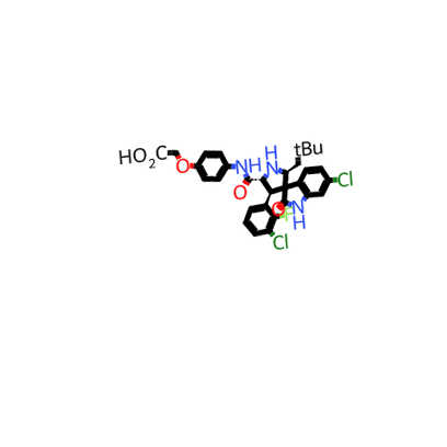 CC(C)(C)C[C@@H]1N[C@@H](C(=O)Nc2ccc(OCC(=O)O)cc2)[C@H](c2cccc(Cl)c2F)C12C(=O)Nc1cc(Cl)ccc12